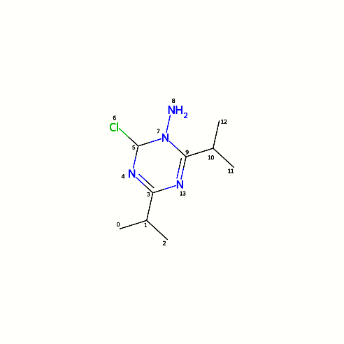 CC(C)C1=NC(Cl)N(N)C(C(C)C)=N1